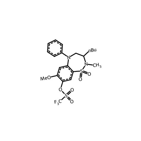 CCCCC1CN(c2ccccc2)c2cc(OC)c(OS(=O)(=O)C(F)(F)F)cc2S(=O)(=O)N1C